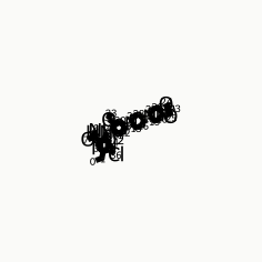 CCc1nc(C(N)=O)c(Nc2ccc(N3CCC(N4CCN(S(C)(=O)=O)CC4)CC3)cc2OC)nc1Cl